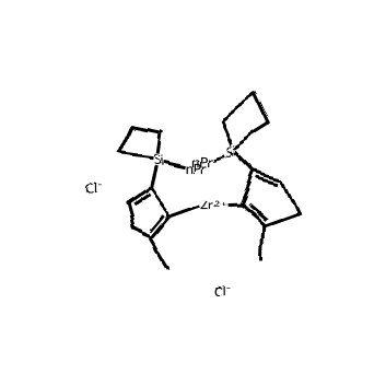 CCC[Si]1(C2=CCC(C)=[C]2[Zr+2][C]2=C(C)CC=C2[Si]2(CCC)CCC2)CCC1.[Cl-].[Cl-]